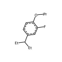 CCC(CC)c1ccc(OC(C)C)c(F)c1